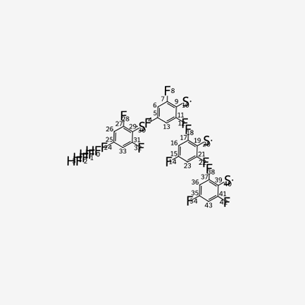 F.F.F.F.Fc1cc(F)c([S])c(F)c1.Fc1cc(F)c([S])c(F)c1.Fc1cc(F)c([S])c(F)c1.Fc1cc(F)c([S])c(F)c1